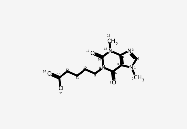 Cn1cnc2c1c(=O)n(CCCCC(=O)Cl)c(=O)n2C